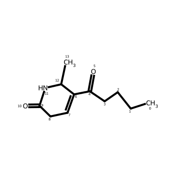 CCCCC(=O)C1=CCC(=O)NC1C